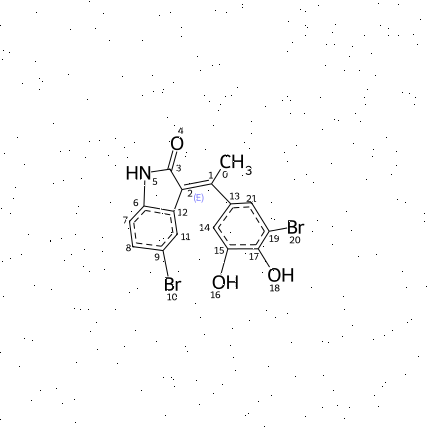 C/C(=C1\C(=O)Nc2ccc(Br)cc21)c1cc(O)c(O)c(Br)c1